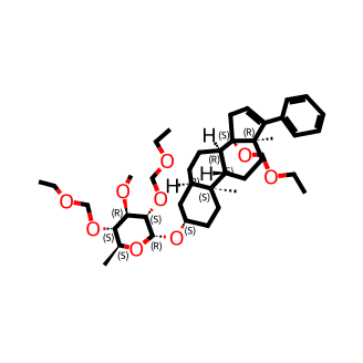 CCOCO[C@@H]1[C@H](O[C@H]2CC[C@@]3(C)[C@H](CC[C@@H]4[C@@H]3CC[C@]3(C)C(c5ccccc5)=CC[C@]43OCOCC)C2)O[C@@H](C)[C@H](OCOCC)[C@H]1OC